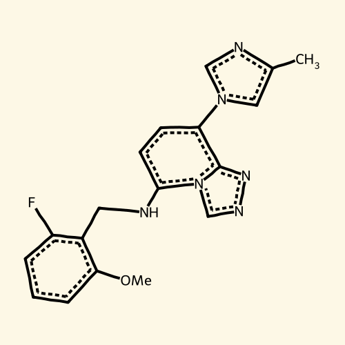 COc1cccc(F)c1CNc1ccc(-n2cnc(C)c2)c2nncn12